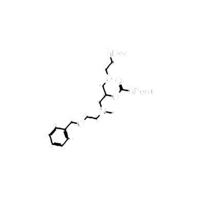 CCCCCCCCCCCCOCC(CN(C)CCOCc1ccccc1)OC(=O)CCCCC